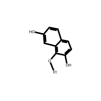 CCOc1c(O)ccc2ccc(O)cc12